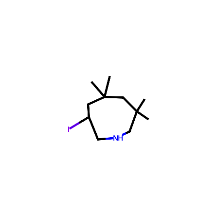 CC1(C)CNCC(I)CC(C)(C)C1